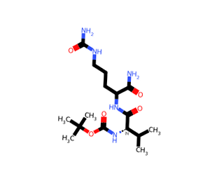 CC(C)[C@H](NC(=O)OC(C)(C)C)C(=O)NC(CCCNC(N)=O)C(N)=O